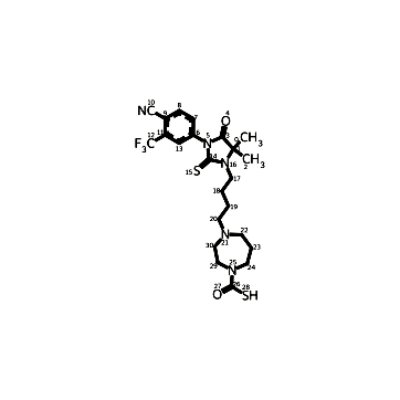 CC1(C)C(=O)N(c2ccc(C#N)c(C(F)(F)F)c2)C(=S)N1CCCCN1CCCN(C(=O)S)CC1